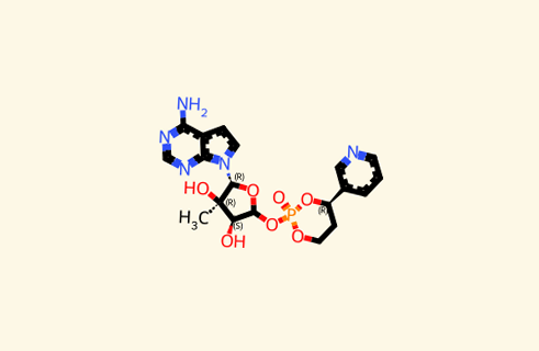 C[C@@]1(O)[C@H](O)C(OP2(=O)OCC[C@H](c3cccnc3)O2)O[C@H]1n1ccc2c(N)ncnc21